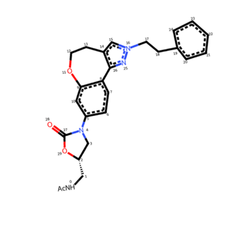 CC(=O)NC[C@H]1CN(c2ccc3c(c2)OCCc2cn(CCc4ccccc4)nc2-3)C(=O)O1